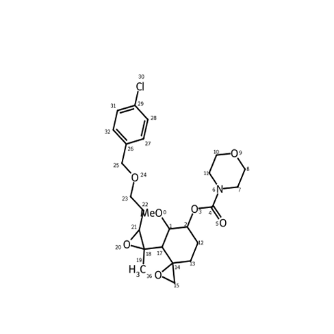 COC1C(OC(=O)N2CCOCC2)CCC2(CO2)C1C1(C)OC1CCOCc1ccc(Cl)cc1